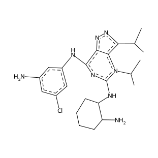 CC(C)c1nnc2c(Nc3cc(N)cc(Cl)c3)nc(NC3CCCCC3N)n(C(C)C)c1-2